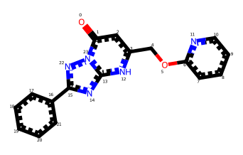 O=c1cc(COc2ccccn2)[nH]c2nc(-c3ccccc3)nn12